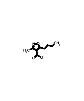 CCCCc1onc(C)c1C(=O)Cl